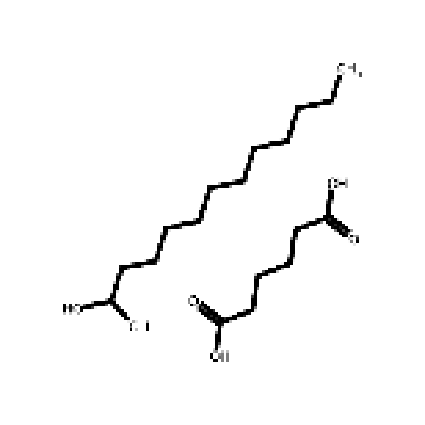 CCCCCCCCCCCC(O)O.O=C(O)CCCCC(=O)O